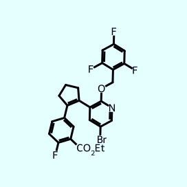 CCOC(=O)c1cc(C2=C(c3cc(Br)cnc3OCc3c(F)cc(F)cc3F)CCC2)ccc1F